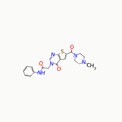 CN1CCN(C(=O)c2cc3c(=O)n(CC(=O)Nc4ccccc4)cnc3s2)CC1